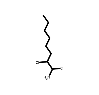 CCCCCCC(Cl)C(N)Cl